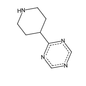 c1ncnc(C2CCNCC2)n1